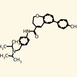 Cc1ccc(-c2ccc3c(c2)C=C(C(=O)Nc2ccc(CN(C(C)C)C(C)C)cc2)CCO3)cc1